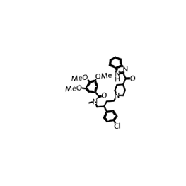 COc1cc(C(=O)N(C)CC(CCN2CCC(C(=O)c3nc4ccccc4[nH]3)CC2)c2ccc(Cl)cc2)cc(OC)c1OC